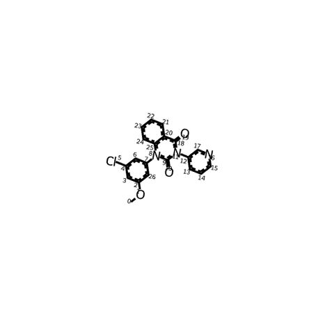 COc1cc(Cl)cc(-n2c(=O)n(-c3cccnc3)c(=O)c3ccccc32)c1